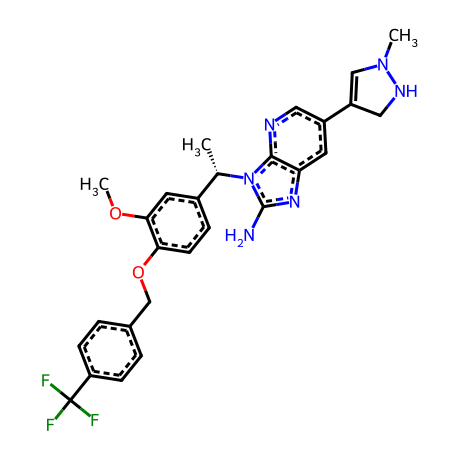 COc1cc([C@H](C)n2c(N)nc3cc(C4=CN(C)NC4)cnc32)ccc1OCc1ccc(C(F)(F)F)cc1